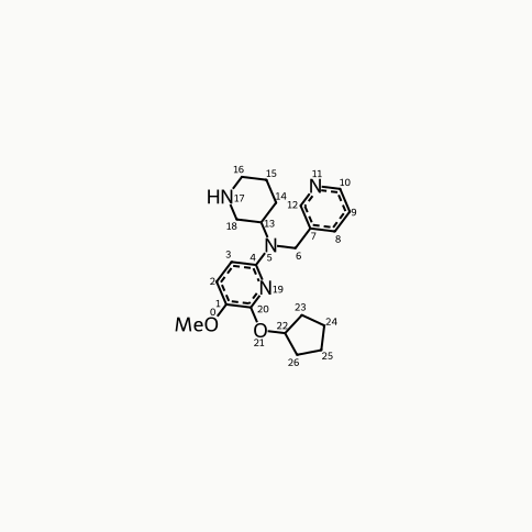 COc1ccc(N(Cc2cccnc2)C2CCCNC2)nc1OC1CCCC1